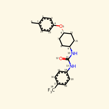 Cc1ccc(O[C@H]2CC[C@H](NC(=O)Nc3ccc(C(F)(F)F)cc3)CC2)cc1